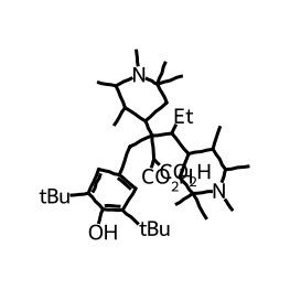 CCC(C1CC(C)(C)N(C)C(C)C1C)C(Cc1cc(C(C)(C)C)c(O)c(C(C)(C)C)c1)(C(C(=O)O)C(=O)O)C1CC(C)(C)N(C)C(C)C1C